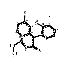 CNc1nc(=O)c(-c2ccccc2Cl)c2cc(Cl)ccn12